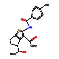 COC(=O)c1c(NC(=O)c2ccc(C(C)(C)C)cc2)sc2c1C(C(=O)OC)CC2